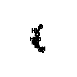 COCCN[C@H]1CC[C@H](C(=O)Nc2ncc3ccc(-c4cnc(C)o4)cc3n2)CC1